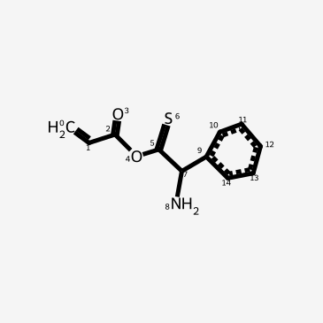 C=CC(=O)OC(=S)C(N)c1ccccc1